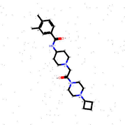 Cc1ccc(C(=O)NC2CCN(CC(=O)N3CCN(C4CCC4)CC3)CC2)cc1C